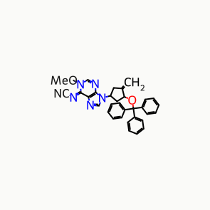 C=C1CC(n2cnc3c(=NC#N)n(OC)cnc32)CC1OC(c1ccccc1)(c1ccccc1)c1ccccc1